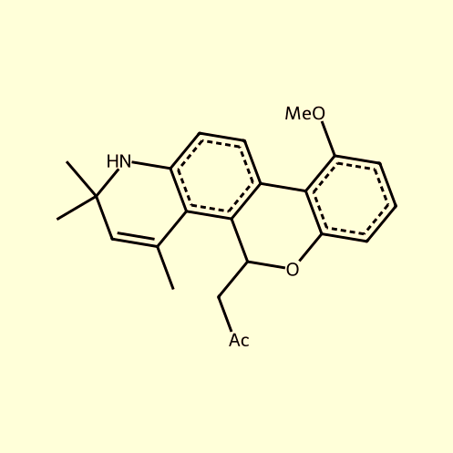 COc1cccc2c1-c1ccc3c(c1C(CC(C)=O)O2)C(C)=CC(C)(C)N3